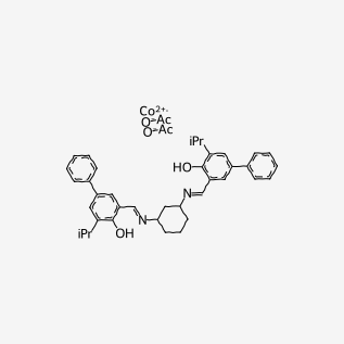 CC(=O)[O-].CC(=O)[O-].CC(C)c1cc(-c2ccccc2)cc(C=NC2CCCC(N=Cc3cc(-c4ccccc4)cc(C(C)C)c3O)C2)c1O.[Co+2]